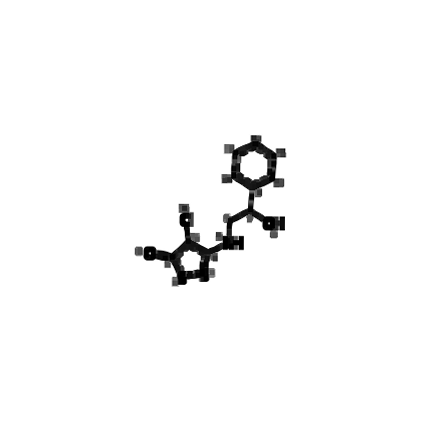 O=c1ssc(NCC(O)c2ccccc2)c1Cl